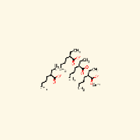 CCCCC(CC)C(=O)[O-].CCCCC(CC)C(=O)[O-].CCCCC(CC)C(=O)[O-].CCCCC(CC)C(=O)[O-].[Ge+4]